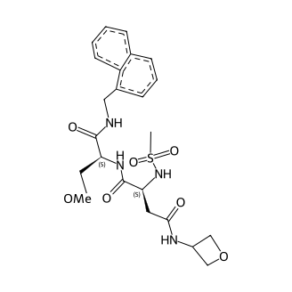 COC[C@H](NC(=O)[C@H](CC(=O)NC1COC1)NS(C)(=O)=O)C(=O)NCc1cccc2ccccc12